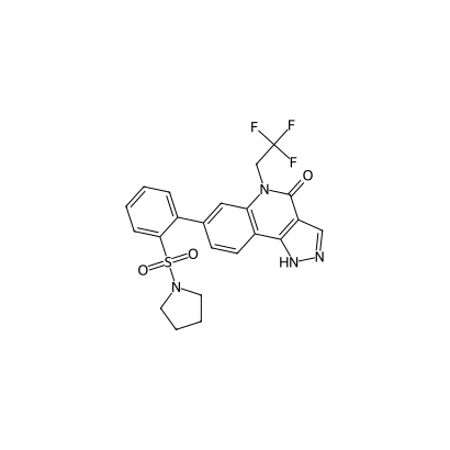 O=c1c2cn[nH]c2c2ccc(-c3ccccc3S(=O)(=O)N3CCCC3)cc2n1CC(F)(F)F